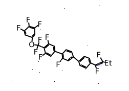 CC/C(F)=C(\F)c1ccc(-c2ccc(-c3cc(F)c(C(F)(F)Oc4cc(F)c(F)c(F)c4)c(F)c3)c(F)c2)cc1